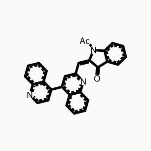 CC(=O)N1C(=Cc2cc(-c3ccnc4ccccc34)c3ccccc3n2)C(=O)c2ccccc21